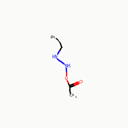 CC(C)CNNOC(=O)C(F)(F)F